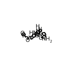 COc1cc2c(cc1Nc1nc(Nc3cccc(F)c3C(N)=O)c3ccnc-3[nH]1)CN(C(=O)CCN1CCOCC1)CC2